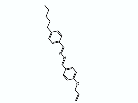 C=CCOc1ccc(/C=N/N=C/c2ccc(CCCCC)cc2)cc1